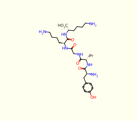 CC(C)[C@H](NC(=O)[C@@H](N)Cc1ccc(O)cc1)C(=O)NCC(=O)N[C@@H](CCCCN)C(=O)N[C@@H](CCCCN)C(=O)O